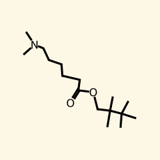 CN(C)CCCCCC(=O)OCC(C)(C)C(C)(C)C